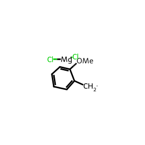 [CH2]c1ccccc1OC.[Cl][Mg][Cl]